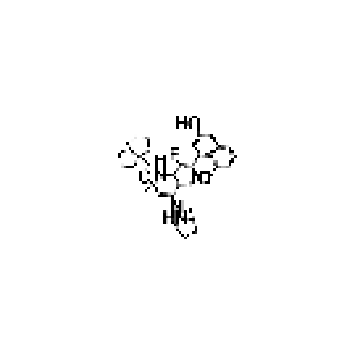 CC1(OCC23CCCN2CCC3)C=C(N2CC3CCC(C2)N3)c2cnc(-c3cc(O)cc4cccc(Cl)c34)c(F)c2N1